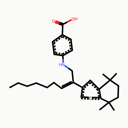 CCCCCC/C=C(\CNc1ccc(C(=O)O)cc1)c1ccc2c(c1)C(C)(C)CCC2(C)C